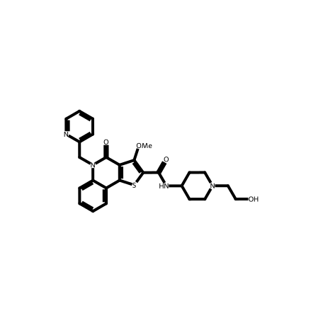 COc1c(C(=O)NC2CCN(CCO)CC2)sc2c1c(=O)n(Cc1ccccn1)c1ccccc21